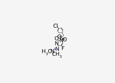 CN(C)/C=N/c1nc(=O)n(S(=O)(=O)CC2C=CC(Cl)=CC2)cc1F